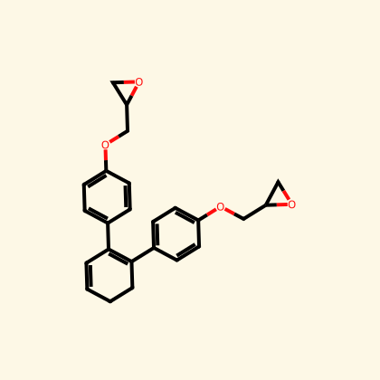 C1=CC(c2ccc(OCC3CO3)cc2)=C(c2ccc(OCC3CO3)cc2)CC1